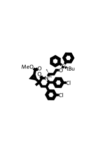 COC(=O)C1CC1C1(C)CC(c2cccc(Cl)c2)C(c2ccc(Cl)cc2)N([C@H](C)CCO[Si](c2ccccc2)(c2ccccc2)C(C)(C)C)C1=O